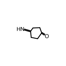 N=C1CCC(=O)CC1